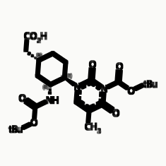 Cc1cn([C@@H]2CC[C@@H](CC(=O)O)C[C@H]2NC(=O)OC(C)(C)C)c(=O)n(C(=O)OC(C)(C)C)c1=O